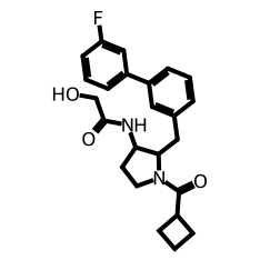 O=C(CO)NC1CCN(C(=O)C2CCC2)C1Cc1cccc(-c2cccc(F)c2)c1